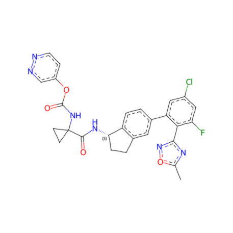 Cc1nc(-c2c(F)cc(Cl)cc2-c2ccc3c(c2)CC[C@@H]3NC(=O)C2(NC(=O)Oc3ccnnc3)CC2)no1